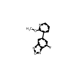 COc1ncccc1-c1cc(F)c2nonc2c1